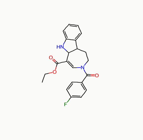 CCOC(=O)C1=CN(C(=O)c2ccc(F)cc2)CCC2c3ccccc3NC12